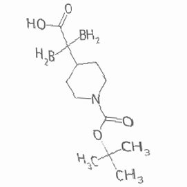 BC(B)(C(=O)O)C1CCN(C(=O)OC(C)(C)C)CC1